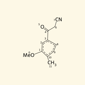 COc1cc(C(=O)CC#N)ccc1C